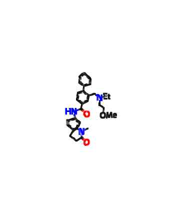 CCN(CCOC)Cc1cc(C(=O)Nc2ccc3c(c2)N(C)C(=O)CC3)ccc1-c1ccccc1